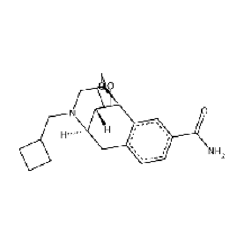 NC(=O)c1ccc2c(c1)[C@]13CCN(CC4CCC4)[C@H](C2)[C@@H]1CCOCCOC3